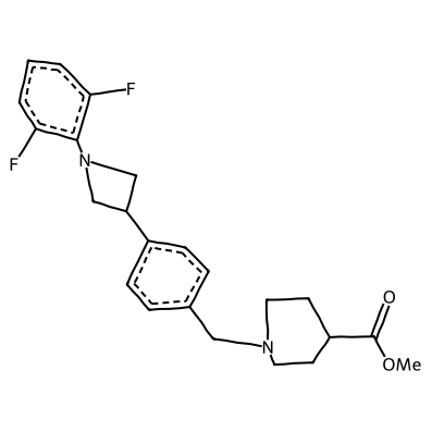 COC(=O)C1CCN(Cc2ccc(C3CN(c4c(F)cccc4F)C3)cc2)CC1